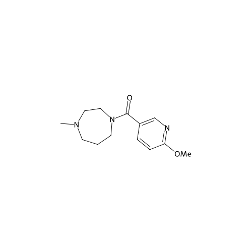 COc1ccc(C(=O)N2CCCN(C)CC2)cn1